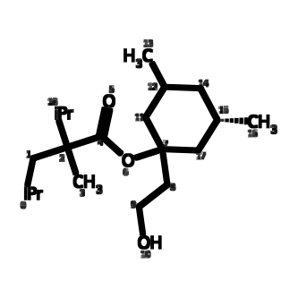 CC(C)CC(C)(C(=O)OC1(CCO)CC(C)C[C@H](C)C1)C(C)C